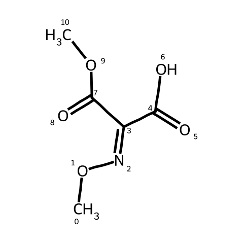 CON=C(C(=O)O)C(=O)OC